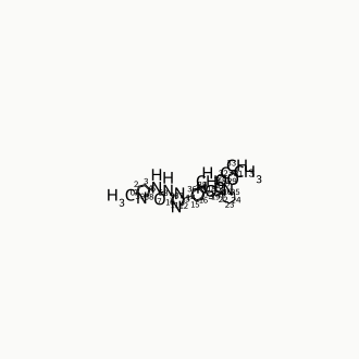 Cc1ccc(NC(=O)Nc2cncc(-c3ccc(OCC4(C)CCCCN4C(=O)OC(C)(C)C)c(C)c3)n2)cn1